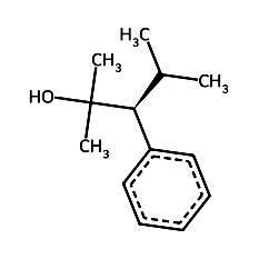 CC(C)[C@@H](c1ccccc1)C(C)(C)O